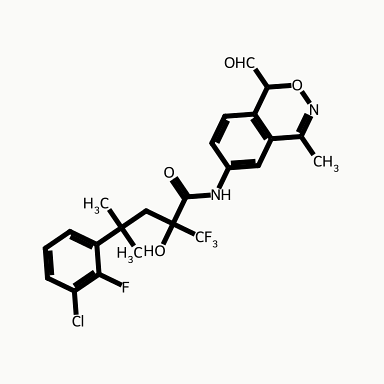 CC1=NOC(C=O)c2ccc(NC(=O)C(O)(CC(C)(C)c3cccc(Cl)c3F)C(F)(F)F)cc21